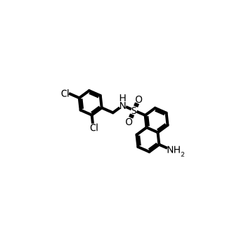 Nc1cccc2c(S(=O)(=O)NCc3ccc(Cl)cc3Cl)cccc12